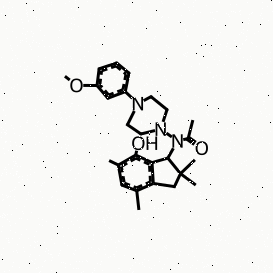 COc1cccc(N2CCN(N(C(C)=O)C3c4c(O)c(C)cc(C)c4CC3(C)C)CC2)c1